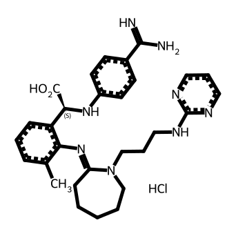 Cc1cccc([C@H](Nc2ccc(C(=N)N)cc2)C(=O)O)c1N=C1CCCCCN1CCCNc1ncccn1.Cl